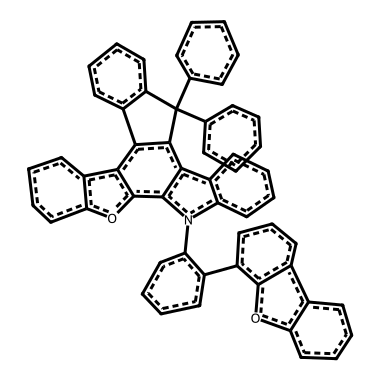 c1ccc(C2(c3ccccc3)c3ccccc3-c3c2c2c4ccccc4n(-c4ccccc4-c4cccc5c4oc4ccccc45)c2c2oc4ccccc4c32)cc1